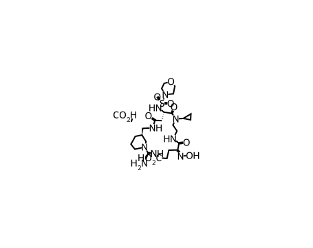 CC(=O)O.N=C(N)N1CCC[C@@H](CNC(=O)C[C@H](NS(=O)(=O)N2CCOCC2)C(=O)N(CCNC(=O)/C(CCC(=O)O)=N\O)C2CC2)C1